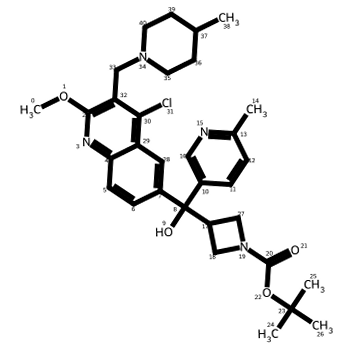 COc1nc2ccc(C(O)(c3ccc(C)nc3)C3CN(C(=O)OC(C)(C)C)C3)cc2c(Cl)c1CN1CCC(C)CC1